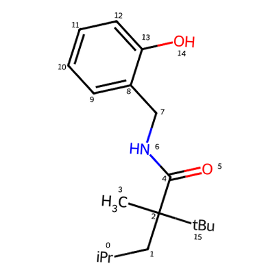 CC(C)CC(C)(C(=O)NCc1ccccc1O)C(C)(C)C